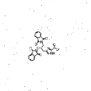 O=C1c2ccccc2C(=O)N1CC(Cc1c[nH]c([N+](=O)[O-])n1)ON1C(=O)c2ccccc2C1=O